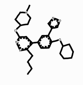 CCCCc1nnc(OC2CCN(C)CC2)cc1-c1ccc(OC2CCCCC2)c(-c2cnoc2)c1